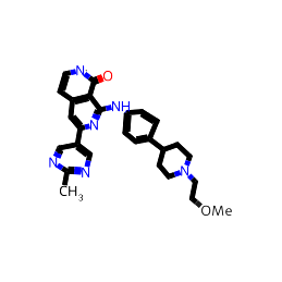 COCCN1CCC(c2ccc(Nc3nc(-c4cnc(C)nc4)cc4c3C(=O)[N]C=C4)cc2)CC1